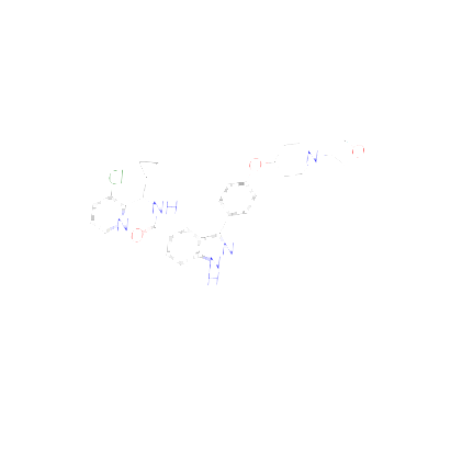 O=C(NC(c1ncccc1Cl)C1CC1)c1ccc2[nH]nc(-c3ccc(OC4CCN(C5COC5)CC4)cc3)c2c1